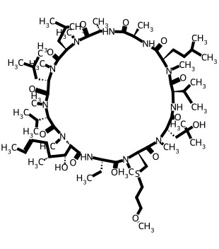 C/C=C/C[C@@H](C)[C@@H](O)[C@H]1C(=O)N[C@@H](CC)C(=O)N(C)[C@H](CSCCCOC)C(=O)N(C)[C@@H](CC(C)(C)O)C(=O)N[C@H](C(C)C)C(=O)N(C)[C@H](CCC(C)C)C(=O)N[C@H](C)C(=O)N[C@@H](C)C(=O)N(C)[C@H](CC(C)C)C(=O)N(C)[C@@H](CC(C)C)C(=O)N(C)[C@@H](C(C)C)C(=O)N1C